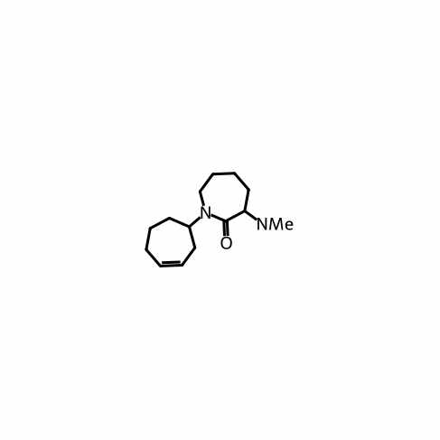 CNC1CCCCN(C2CC=CCCC2)C1=O